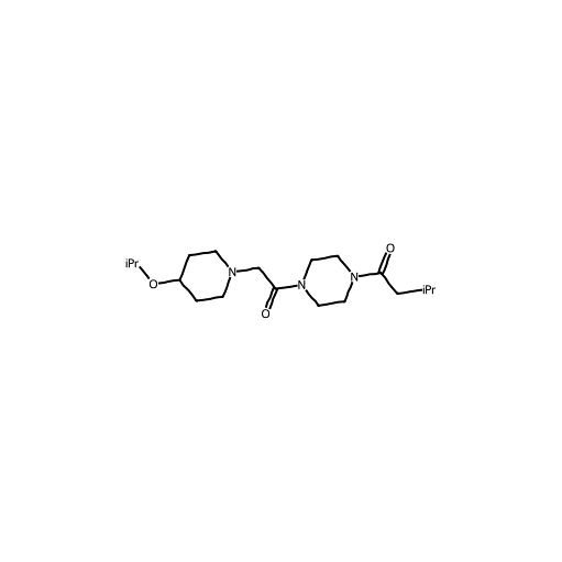 CC(C)CC(=O)N1CCN(C(=O)CN2CCC(OC(C)C)CC2)CC1